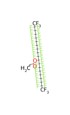 C=CC(=O)OC(F)(C(F)(F)C(F)(F)C(F)(F)C(F)(F)C(F)(F)C(F)(F)C(F)(F)C(F)(F)F)C(F)(F)C(F)(F)C(F)(F)C(F)(F)C(F)(F)C(F)(F)C(F)(F)C(F)(F)C(F)(F)C(F)(F)F